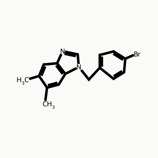 Cc1cc2ncn(Cc3ccc(Br)cc3)c2cc1C